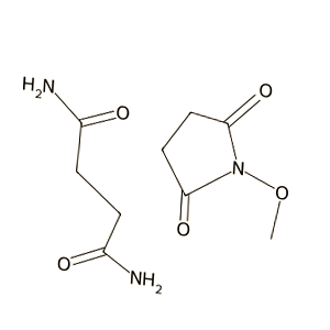 CON1C(=O)CCC1=O.NC(=O)CCC(N)=O